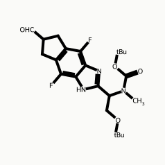 CN(C(=O)OC(C)(C)C)C(COC(C)(C)C)c1nc2c(F)c3c(c(F)c2[nH]1)CC(C=O)C3